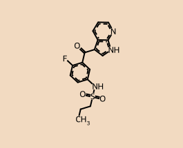 CCCS(=O)(=O)Nc1ccc(F)c(C(=O)c2c[nH]c3ncccc23)c1